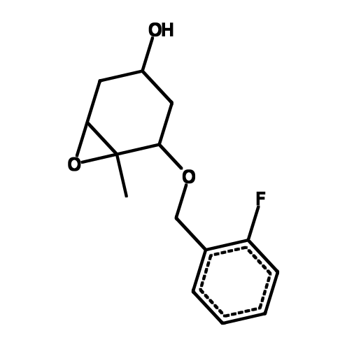 CC12OC1CC(O)CC2OCc1ccccc1F